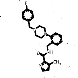 Cc1ccsc1C(=O)NCc1ccccc1N1CCN(Cc2ccc(F)cc2)CC1